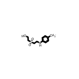 [CH2]c1ccc(NCCS(=O)(=O)CCO)cc1